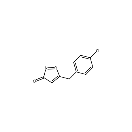 O=C1C=C(Cc2ccc(Cl)cc2)N=N1